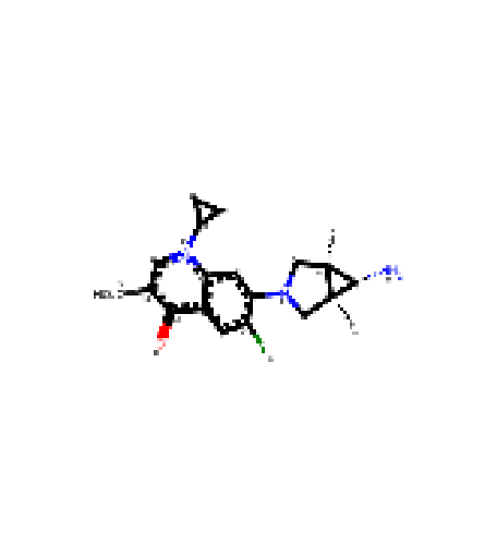 N[C@@H]1[C@H]2CN(c3cc4c(cc3F)c(=O)c(C(=O)O)cn4C3CC3)C[C@@H]12